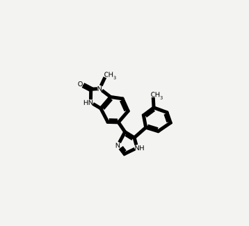 Cc1cccc(-c2[nH]cnc2-c2ccc3c(c2)[nH]c(=O)n3C)c1